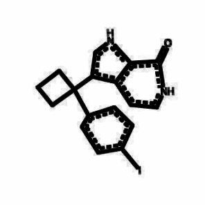 O=c1[nH]ccc2c(C3(c4ccc(I)cc4)CCC3)c[nH]c12